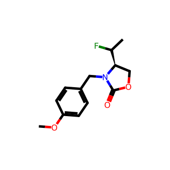 COc1ccc(CN2C(=O)OC[C@@H]2C(C)F)cc1